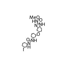 COC(=O)Nc1nc2cc(Oc3cccc(NC(=O)Nc4cccc(I)c4)c3)ccc2[nH]1